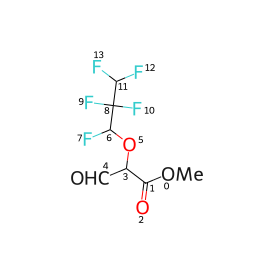 COC(=O)C(C=O)OC(F)C(F)(F)C(F)F